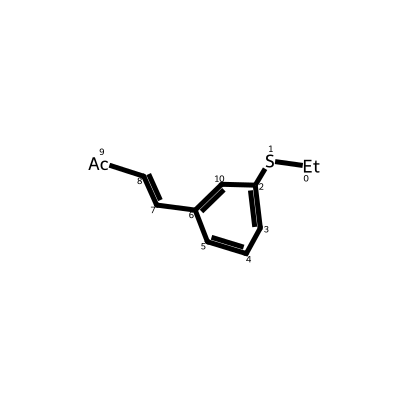 CCSc1cccc(C=CC(C)=O)c1